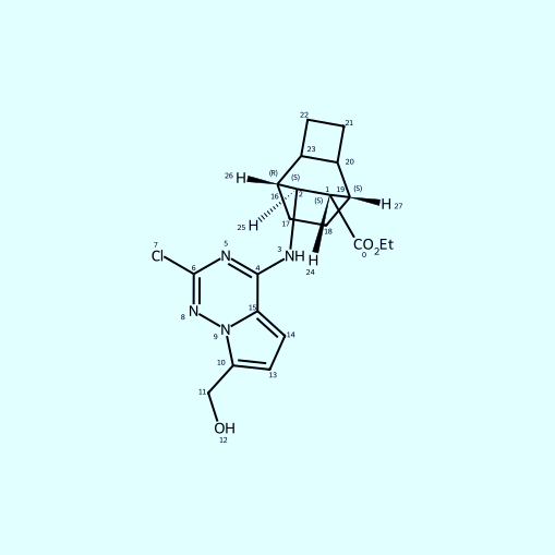 CCOC(=O)[C@@H]1[C@@H](Nc2nc(Cl)nn3c(CO)ccc23)[C@@H]2CC[C@H]1C1CCC12